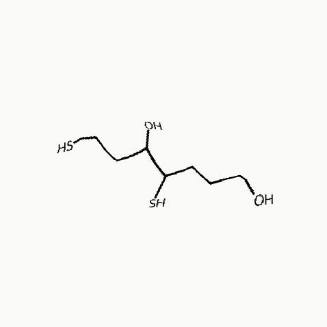 OCCCC(S)C(O)CCS